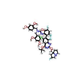 COc1ccc(CN(Cc2ccc(OC)cc2OC)c2nc3c(-c4c(Cl)cc5c(OC(C)(C)C)nc(OC[C@@]67CCCN6C[C@H](F)C7)nc5c4F)c(F)cc(F)c3o2)c(OC)c1